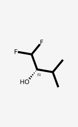 CC(C)[C@H](O)C(F)F